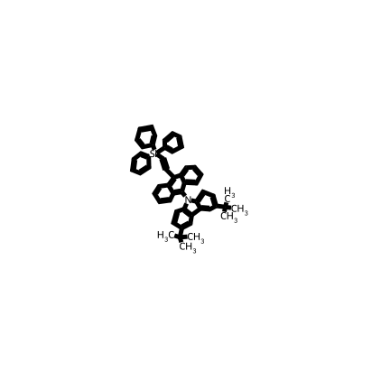 CC(C)(C)c1ccc2c(c1)c1cc(C(C)(C)C)ccc1n2-c1c2ccccc2c(C#C[Si](c2ccccc2)(c2ccccc2)c2ccccc2)c2ccccc12